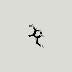 Cc1c(CCl)noc1C(C)(C)C